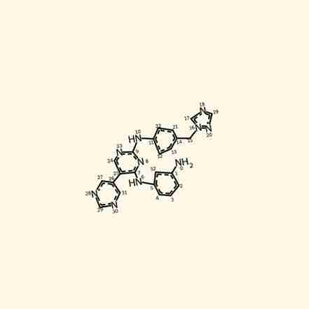 Nc1cccc(Nc2nc(Nc3ccc(Cn4cncn4)cc3)ncc2-c2cncnc2)c1